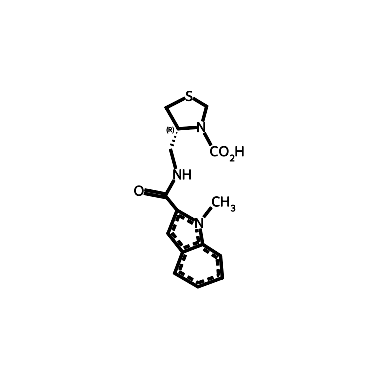 Cn1c(C(=O)NC[C@@H]2CSCN2C(=O)O)cc2ccccc21